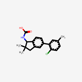 Cc1ccc(Cl)c(-c2ccc3c(c2)CC(C)(C)C3NC(=O)O)c1